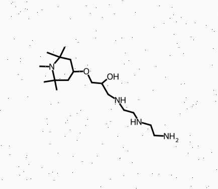 CN1C(C)(C)CC(OCC(O)CNCCNCCN)CC1(C)C